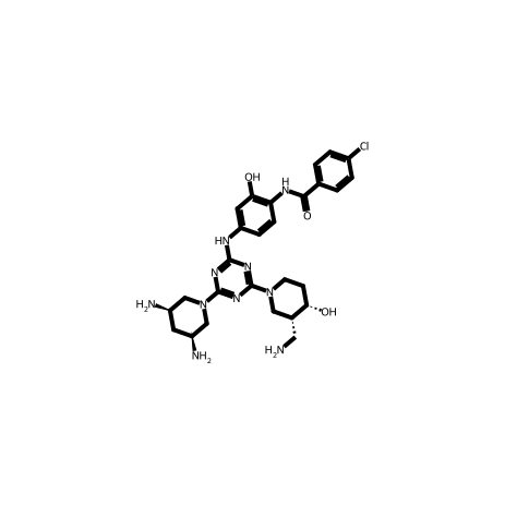 NC[C@@H]1CN(c2nc(Nc3ccc(NC(=O)c4ccc(Cl)cc4)c(O)c3)nc(N3C[C@H](N)C[C@H](N)C3)n2)CC[C@@H]1O